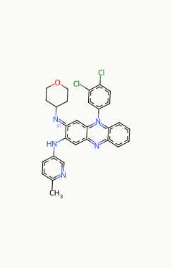 Cc1ccc(Nc2cc3nc4ccccc4n(-c4ccc(Cl)c(Cl)c4)c-3c/c2=N\C2CCOCC2)cn1